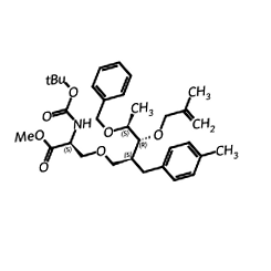 C=C(C)CO[C@H]([C@H](COC[C@H](NC(=O)OC(C)(C)C)C(=O)OC)Cc1ccc(C)cc1)[C@H](C)OCc1ccccc1